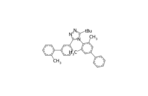 Cc1ccccc1-c1cccc(-c2nnc(C(C)(C)C)n2-c2c(C)cc(-c3ccccc3)cc2C)c1